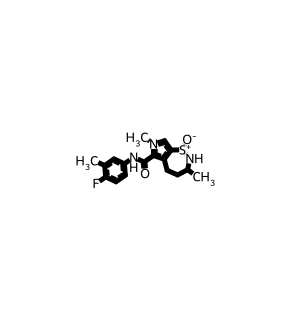 Cc1cc(NC(=O)c2c3c(cn2C)[S+]([O-])NC(C)CC3)ccc1F